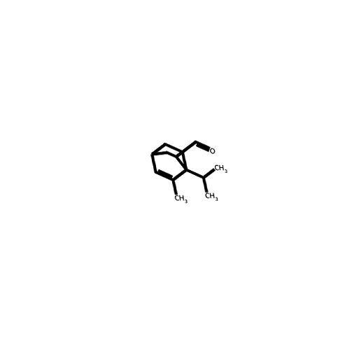 CC1=CC2CCC1(C(C)C)C(C=O)C2